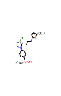 CCCCC[C@@H](O)c1ccc(N2CCC(Cl)[C@@H]2CCCc2ccc(C(=O)O)s2)cc1